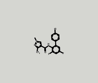 Cn1cc(C(=O)Nc2c(F)cc(F)cc2-c2ccc(Cl)cc2)c(C(F)(F)F)n1